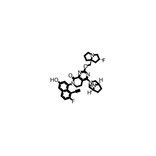 C#Cc1c(F)ccc2cc(O)cc(N3CCc4c(nc(OC[C@@]56CCCN5C[C@H](F)C6)nc4N4C[C@H]5CC[C@@H](C4)N5)C3=O)c12